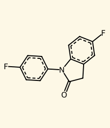 O=C1Cc2cc(F)ccc2N1c1ccc(F)cc1